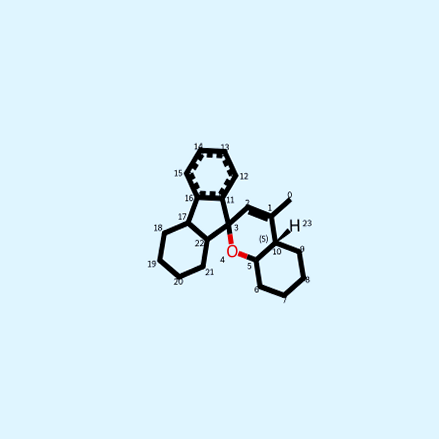 CC1=CC2(OC3CCCC[C@@H]13)c1ccccc1C1CCCCC12